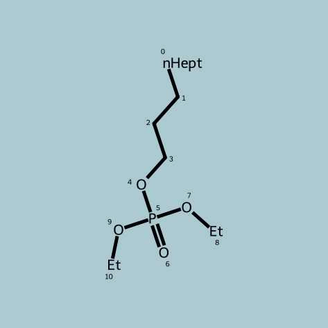 CCCCCCCCCCOP(=O)(OCC)OCC